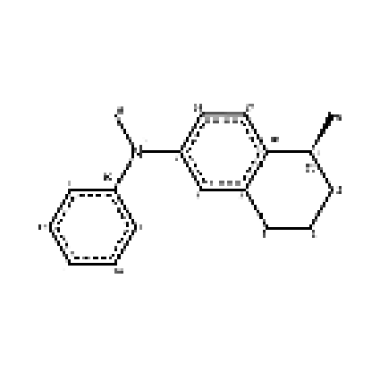 C[C@H]1CCCc2cc(N(C)c3ccccc3)ccc21